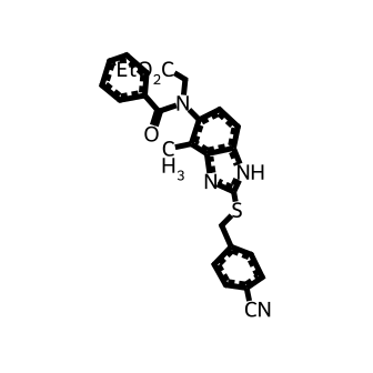 CCOC(=O)CN(C(=O)c1ccccc1)c1ccc2[nH]c(SCc3ccc(C#N)cc3)nc2c1C